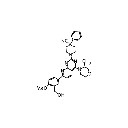 COc1ccc(-c2ccc3c(N4CCOC[C@@H]4C)nc(N4CCC(C#N)(c5ccccc5)CC4)nc3n2)cc1CO